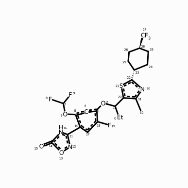 CCC(Oc1cc(OC(F)F)c(-c2noc(=O)[nH]2)cc1F)c1sc([C@H]2CC[C@H](C(F)(F)F)CC2)nc1C